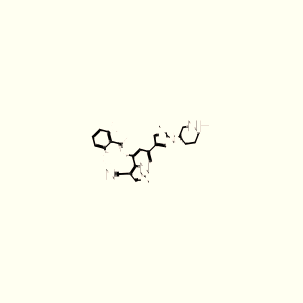 C[C@@H](Sc1cc(-c2cnn([C@H]3CCCNC3)c2)cn2ncc(C#N)c12)c1c(Cl)cccc1Cl